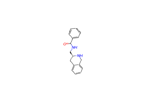 O=C(NC[C@@H]1Cc2ccccc2CN1)c1ccccc1